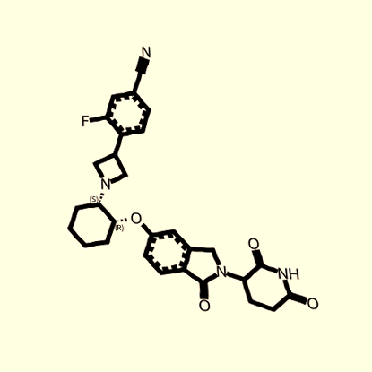 N#Cc1ccc(C2CN([C@H]3CCCC[C@H]3Oc3ccc4c(c3)CN(C3CCC(=O)NC3=O)C4=O)C2)c(F)c1